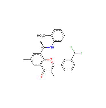 Cc1cc([C@@H](C)Nc2ccccc2C(=O)O)c2oc(-c3cccc(C(F)F)c3)c(C)c(=O)c2c1